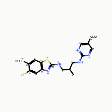 CSc1cnc(NCC(C)CNc2nc3cc(F)c(C(=O)O)cc3s2)nc1